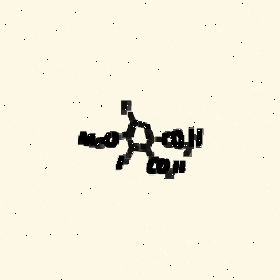 COc1c(F)cc(C(=O)O)c(C(=O)O)c1F